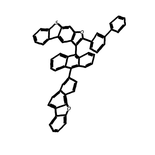 c1ccc(-c2cccc(-c3oc4cc5sc6ccccc6c5cc4c3-c3c4ccccc4c(-c4ccc5c(ccc6c7ccccc7oc56)c4)c4ccccc34)c2)cc1